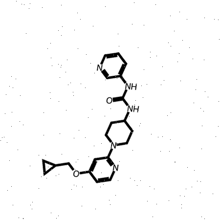 O=C(Nc1cccnc1)NC1CCN(c2cc(OCC3CC3)ccn2)CC1